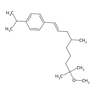 COC(C)(C)CCCC(C)CC=Cc1ccc(C(C)C)cc1